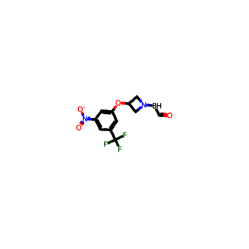 O=CBN1CC(Oc2cc([N+](=O)[O-])cc(C(F)(F)F)c2)C1